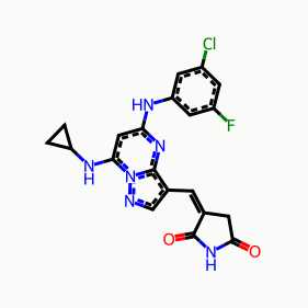 O=C1CC(=Cc2cnn3c(NC4CC4)cc(Nc4cc(F)cc(Cl)c4)nc23)C(=O)N1